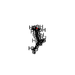 COCC(C)NC(=O)COc1ccc(C(NC(=O)CNC(=O)[C@@H](N)CC(=O)N[C@@H]2OC(CO)[C@@H](O)C(O)C2NC(C)=O)c2ccc(OC)cc2OC)cc1